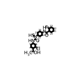 CC(O)c1ccc(NC(=O)N(S)c2ccc(NC(=O)c3ccccc3F)cc2)cc1Cl